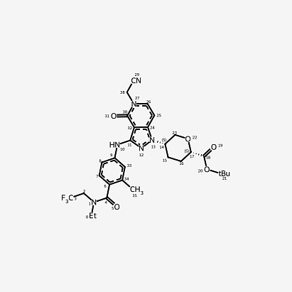 CCN(CC(F)(F)F)C(=O)c1ccc(Nc2nn([C@H]3CC[C@@H](C(=O)OC(C)(C)C)OC3)c3ccn(CC#N)c(=O)c23)cc1C